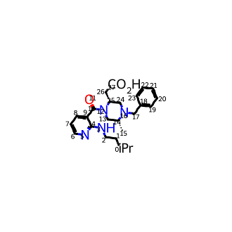 CC(C)CCNc1ncccc1C(=O)N1C[C@@H](C)N(Cc2ccccc2)C[C@@H]1CC(=O)O